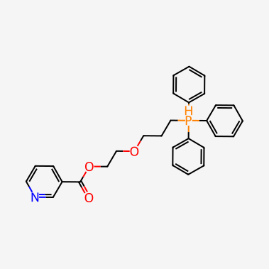 O=C(OCCOCCC[PH](c1ccccc1)(c1ccccc1)c1ccccc1)c1cccnc1